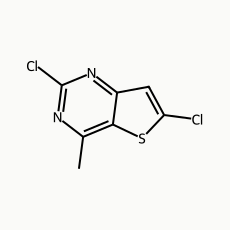 Cc1nc(Cl)nc2cc(Cl)sc12